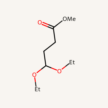 CCOC(CCC(=O)OC)OCC